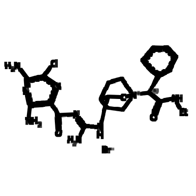 CCNC(=O)[C@H](c1ccccc1)[N+]12CCC(CC1)C(NC(N)=NC(=O)c1nc(Cl)c(N)nc1N)C2.[Br-]